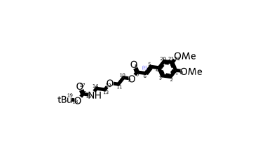 COc1ccc(/C=C/C(=O)OCCOCCNC(=O)OC(C)(C)C)cc1OC